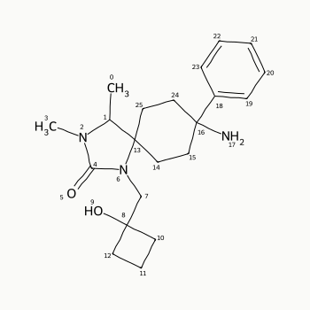 CC1N(C)C(=O)N(CC2(O)CCC2)C12CCC(N)(c1ccccc1)CC2